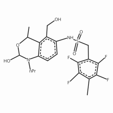 CCCN1c2ccc(NS(=O)(=O)Cc3c(F)c(F)c(C)c(F)c3F)c(CO)c2C(C)OC1O